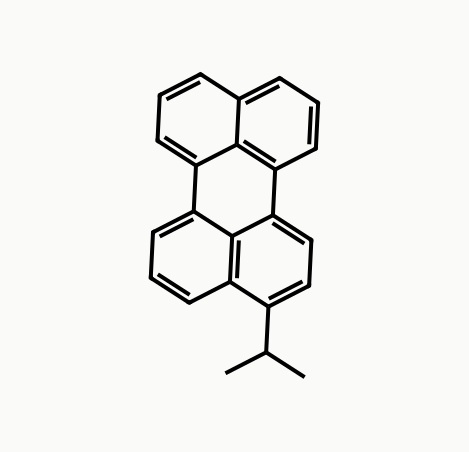 CC(C)c1ccc2c3cccc4cccc(c5cccc1c52)c43